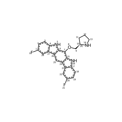 Fc1ccc2[nH]c3c(OC[C@H]4CCCN4)c4[nH]c5ccc(F)cc5c4cc3c2c1